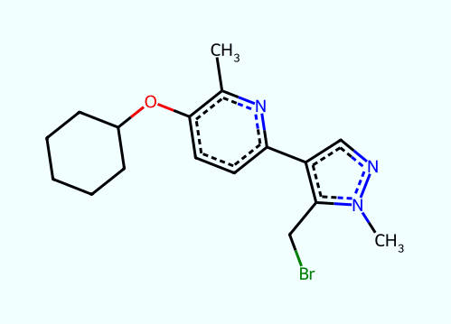 Cc1nc(-c2cnn(C)c2CBr)ccc1OC1CCCCC1